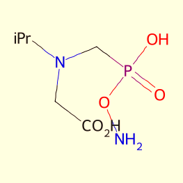 CC(C)N(CC(=O)O)CP(=O)(O)ON